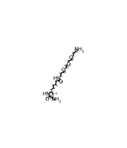 C[C@H]1[C@@H](CCCCCC(=O)NCCCOCCOCCOCCCN)NC(=O)N1N